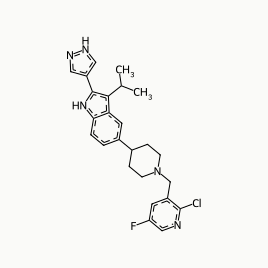 CC(C)c1c(-c2cn[nH]c2)[nH]c2ccc(C3CCN(Cc4cc(F)cnc4Cl)CC3)cc12